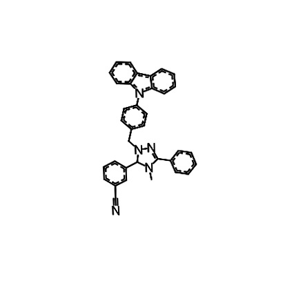 CN1C(c2ccccc2)=NN(Cc2ccc(-n3c4ccccc4c4ccccc43)cc2)C1c1cccc(C#N)c1